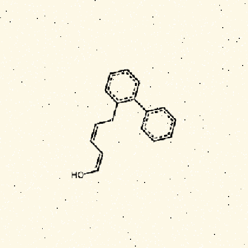 O/C=C\C=C/Cc1ccccc1-c1ccccc1